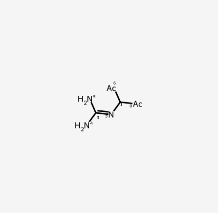 CC(=O)C(N=C(N)N)C(C)=O